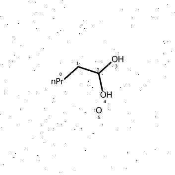 CCCCC(O)O.[O]